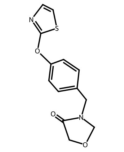 O=C1COCN1Cc1ccc(Oc2nccs2)cc1